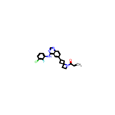 C=CC(=O)N1CCC12CC(c1ccc3ncnc(Nc4cccc(Cl)c4F)c3c1)C2